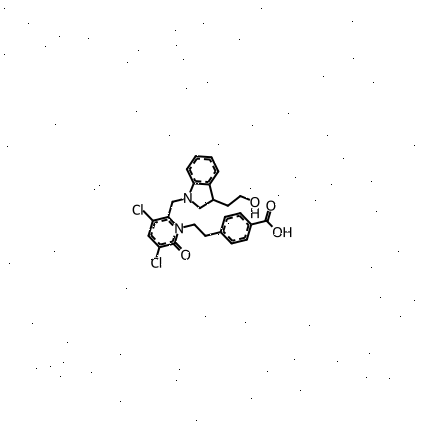 O=C(O)c1ccc(CCn2c(CN3CC(CCO)c4ccccc43)c(Cl)cc(Cl)c2=O)cc1